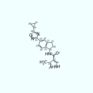 Cc1n[nH]cc1C(=O)NC1CCc2cc(-c3noc(C4CC4)n3)ccc21